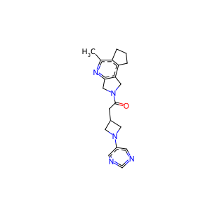 Cc1nc2c(c3c1CCC3)CN(C(=O)CC1CN(c3cncnc3)C1)C2